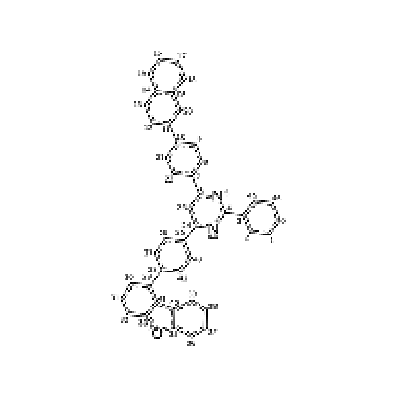 c1ccc(-c2nc(-c3ccc(-c4ccc5ccccc5c4)cc3)cc(-c3ccc(-c4cccc5oc6ccccc6c45)cc3)n2)cc1